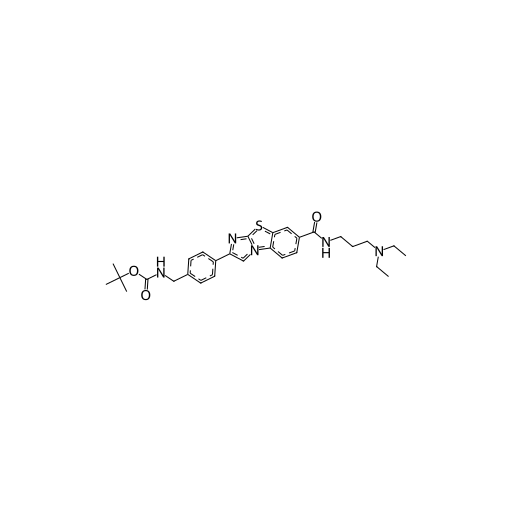 CCN(CC)CCCNC(=O)c1ccc2c(c1)sc1nc(-c3ccc(CNC(=O)OC(C)(C)C)cc3)cn12